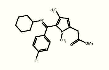 COC(=O)Cc1cc(C)c(C(=NC2CCCCC2)c2ccc(Cl)cc2)n1C